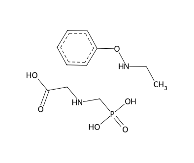 CCNOc1ccccc1.O=C(O)CNCP(=O)(O)O